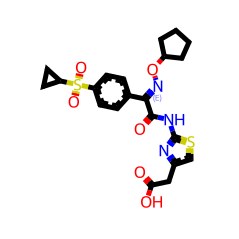 O=C(O)Cc1csc(NC(=O)/C(=N/OC2CCCC2)c2ccc(S(=O)(=O)C3CC3)cc2)n1